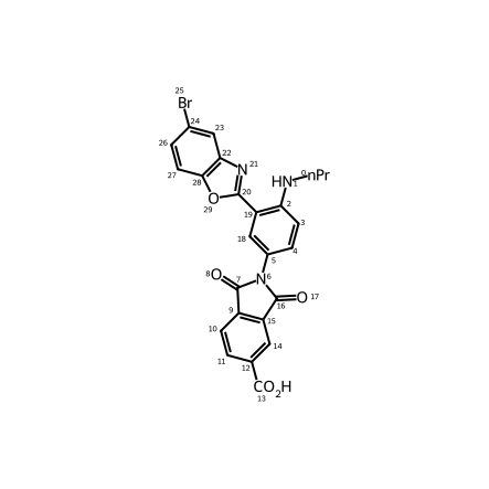 CCCNc1ccc(N2C(=O)c3ccc(C(=O)O)cc3C2=O)cc1-c1nc2cc(Br)ccc2o1